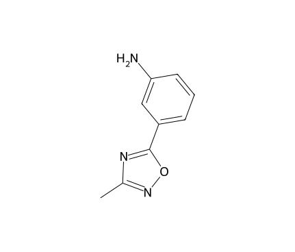 Cc1noc(-c2cccc(N)c2)n1